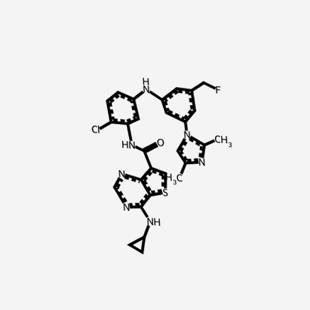 Cc1cn(-c2cc(CF)cc(Nc3ccc(Cl)c(NC(=O)c4csc5c(NC6CC6)ncnc45)c3)c2)c(C)n1